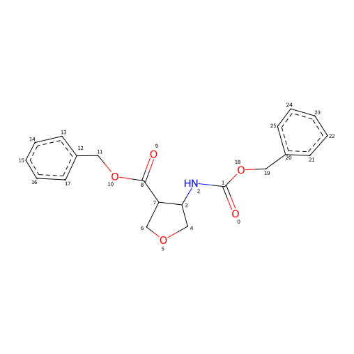 O=C(NC1COCC1C(=O)OCc1ccccc1)OCc1ccccc1